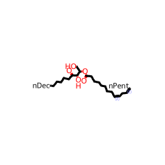 CCCCC/C=C\C/C=C\CCCCCCCC(=O)OC(CO)C(O)C(=O)CCCCCCCCCCCCCCC